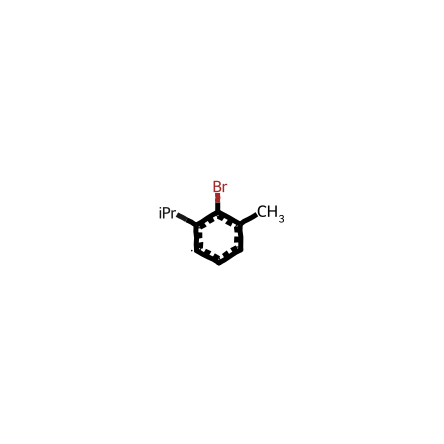 Cc1cc[c]c(C(C)C)c1Br